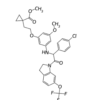 COC(=O)C1(CCOc2cc(NC(C(=O)N3CCc4ccc(OC(F)(F)F)cc43)c3ccc(Cl)cc3)cc(OC)c2)CC1